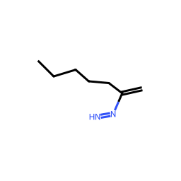 C=C(CCCCC)N=N